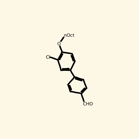 CCCCCCCCOc1ccc(-c2ccc(C=O)cc2)cc1Cl